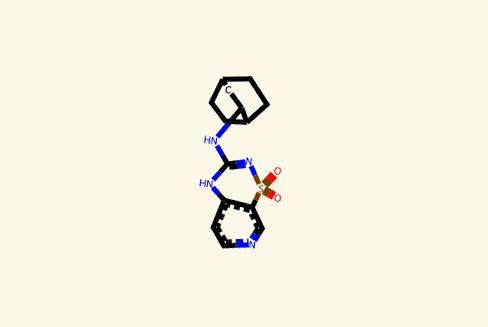 O=S1(=O)N=C(NC2CC3CCC2CC3)Nc2ccncc21